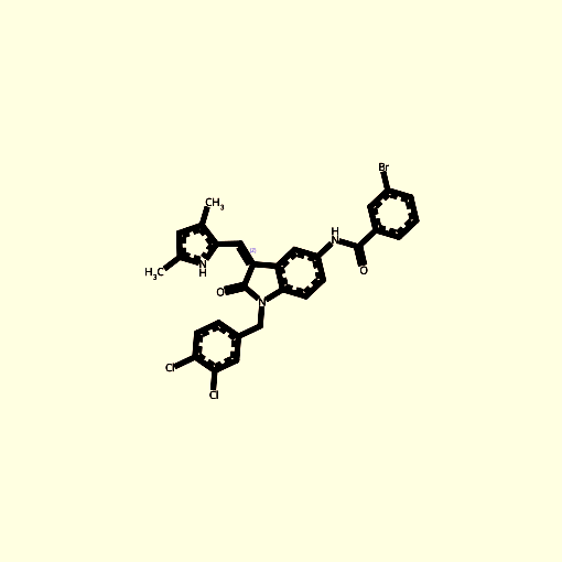 Cc1cc(C)c(/C=C2\C(=O)N(Cc3ccc(Cl)c(Cl)c3)c3ccc(NC(=O)c4cccc(Br)c4)cc32)[nH]1